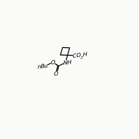 CCCCOC(=O)NC1(C(=O)O)CCC1